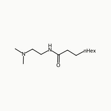 CCCCCCCCC(=O)NCCN(C)C